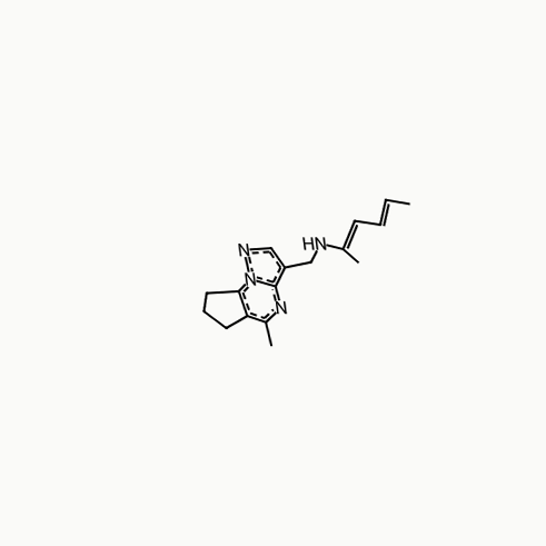 C/C=C/C=C(\C)NCc1cnn2c3c(c(C)nc12)CCC3